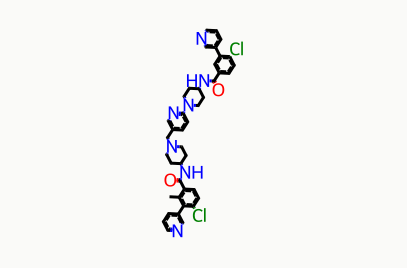 Cc1c(C(=O)NC2CCN(Cc3ccc(N4CCC(NC(=O)c5ccc(Cl)c(-c6cccnc6)c5)CC4)nc3)CC2)ccc(Cl)c1-c1cccnc1